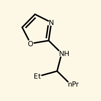 CCCC(CC)Nc1ncco1